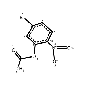 CC(=O)Oc1cc(Br)ccc1[N+](=O)[O-]